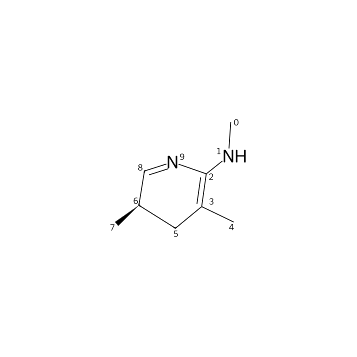 CNC1=C(C)C[C@@H](C)C=N1